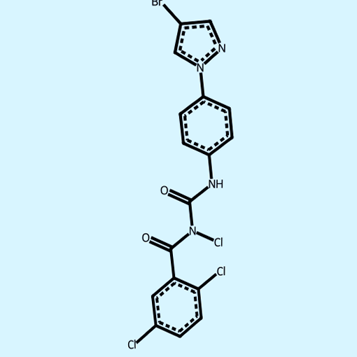 O=C(Nc1ccc(-n2cc(Br)cn2)cc1)N(Cl)C(=O)c1cc(Cl)ccc1Cl